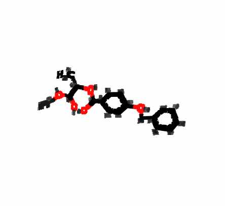 CC(C)OC(=O)[C@H](C)OC(=O)c1ccc(OCc2ccccc2)cc1